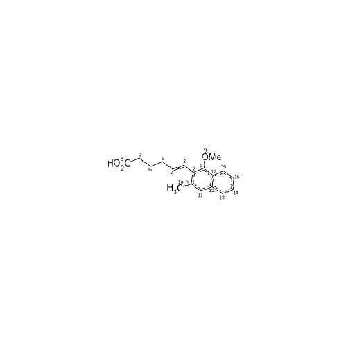 COc1c(/C=C/CCCC(=O)O)c(C)cc2ccccc12